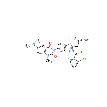 COC(=O)C[C@H](Cc1ccc(-n2c(=O)c3cc(N(C)C)ccc3n(C)c2=O)cc1)NC(=O)c1c(Cl)cccc1Cl